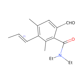 C/C=C/c1c(C)cc(C=O)c(C(=O)N(CC)CC)c1C